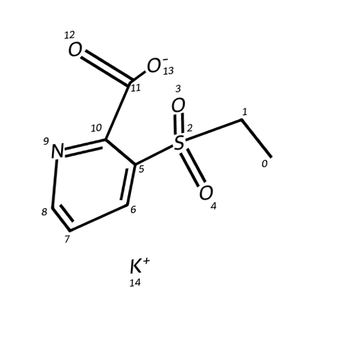 CCS(=O)(=O)c1cccnc1C(=O)[O-].[K+]